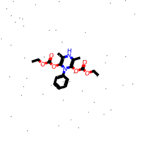 CCOC(=O)OC1=C(C)NC(C)=C(OC(=O)OCC)N1c1ccccc1